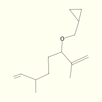 C=CC(C)CCC(OCC1CC1)C(=C)C